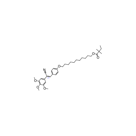 CCC(C)(C)C(=O)OCCCCCCCCCCCOc1ccc(/C=C(\C#N)c2cc(OC)c(OC)c(OC)c2)cc1